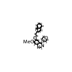 COc1cc2ncnc(N3CCOCC3)c2cc1OCCc1ccc2ccccc2n1